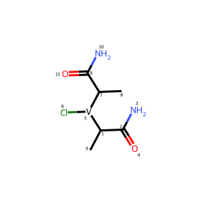 C[CH](C(N)=O)[V]([Cl])[CH](C)C(N)=O